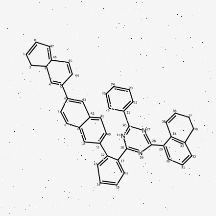 C1=CCC2C=C(c3ccc4cc(-c5ccccc5-c5nc(-c6ccccc6)nc(-c6cccc7c6C=CCC7)n5)ccc4c3)C=CC2=C1